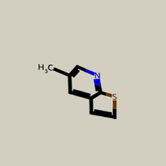 Cc1cnc2sccc2c1